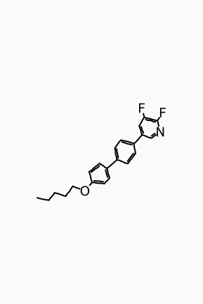 CCCCCOc1ccc(-c2ccc(-c3cnc(F)c(F)c3)cc2)cc1